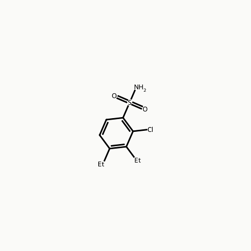 CCc1ccc(S(N)(=O)=O)c(Cl)c1CC